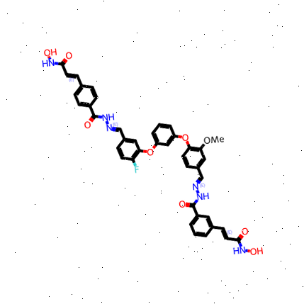 COc1cc(/C=N/NC(=O)c2cccc(/C=C/C(=O)NO)c2)ccc1Oc1cccc(Oc2cc(/C=N/NC(=O)c3ccc(/C=C/C(=O)NO)cc3)ccc2F)c1